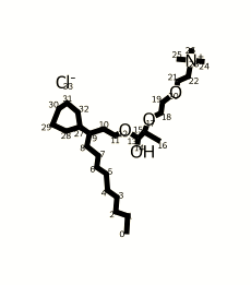 CCCCCCCCCC(CCOC(O)C(C)OCCOCC[N+](C)(C)C)C1CCCCC1.[Cl-]